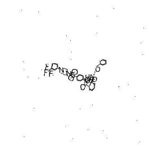 O=C(Nc1ccc(S(=O)(=O)N2CCN(c3cccc(C(F)(F)F)c3)CC2)cc1)c1ccccc1S(=O)(=O)NCCOCc1ccccc1